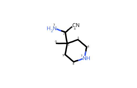 CC1(C(N)C#N)CCNCC1